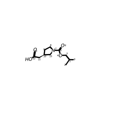 CC(C)COC(=O)N1CC[C@H](CC(=O)O)C1